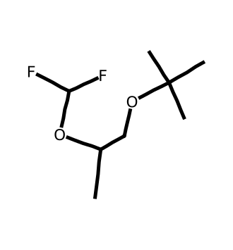 CC(COC(C)(C)C)OC(F)F